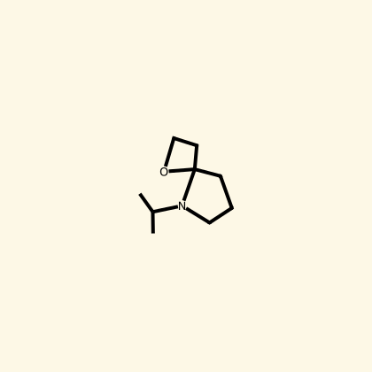 CC(C)N1CCCC12CCO2